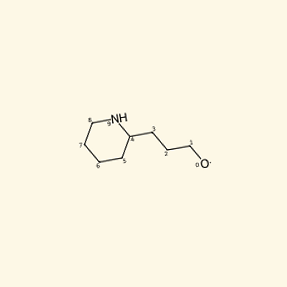 [O]CCCC1CCCCN1